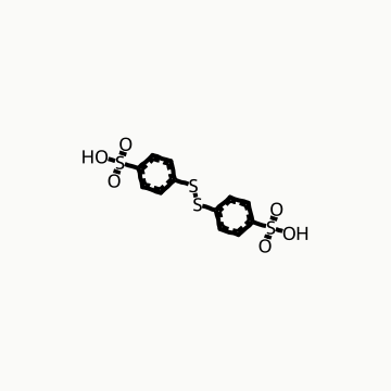 O=S(=O)(O)c1ccc(SSc2ccc(S(=O)(=O)O)cc2)cc1